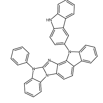 c1ccc(-n2c3ccccc3n3c4ccc5c6ccccc6n(-c6ccc7[nH]c8ccccc8c7c6)c5c4nc23)cc1